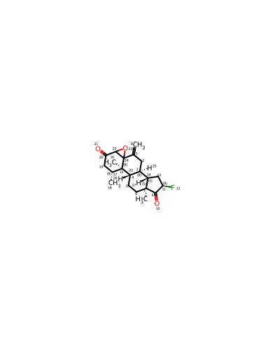 C=C1C[C@@H]2[C@H](CC[C@]3(C)C(=O)[C@H](F)C[C@@H]23)[C@@]2(C)[C@H](C)CC(=O)C3OC132